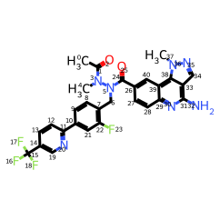 CC(=O)N(C)N(Cc1ccc(-c2ccc(C(F)(F)F)cn2)cc1F)C(=O)c1ccc2nc(N)c3cnn(C)c3c2c1